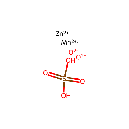 O=S(=O)(O)O.[Mn+2].[O-2].[O-2].[Zn+2]